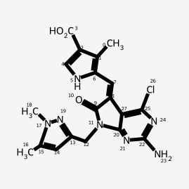 Cc1c(C(=O)O)c[nH]c1C=C1C(=O)N(Cc2cc(C)n(C)n2)c2nc(N)nc(Cl)c21